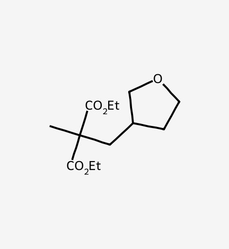 CCOC(=O)C(C)(CC1CCOC1)C(=O)OCC